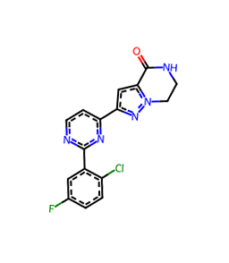 O=C1NCCn2nc(-c3ccnc(-c4cc(F)ccc4Cl)n3)cc21